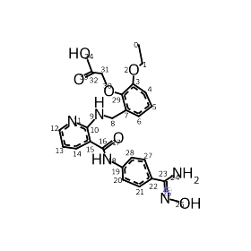 CCOc1cccc(CNc2ncccc2C(=O)Nc2ccc(/C(N)=N/O)cc2)c1OCC(=O)O